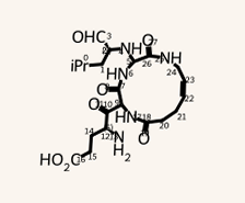 CC(C)C[C@@H](C=O)NC1NC(=O)C(C(=O)[C@@H](N)CCC(=O)O)NC(=O)CCC=CCNC1=O